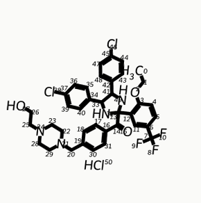 CCOc1ccc(C(F)(F)F)cc1C1(C(=O)c2ccc(CN3CCN(CCO)CC3)cc2)NC(c2ccc(Cl)cc2)C(c2ccc(Cl)cc2)N1.Cl